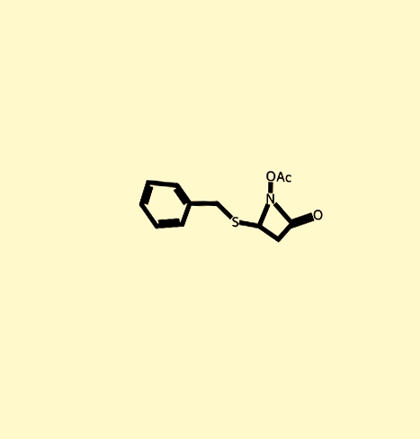 CC(=O)ON1C(=O)CC1SCc1ccccc1